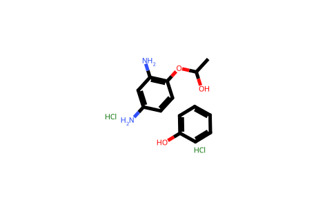 CC(O)Oc1ccc(N)cc1N.Cl.Cl.Oc1ccccc1